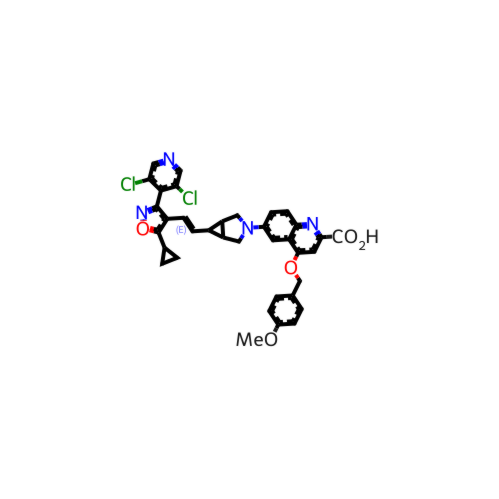 COc1ccc(COc2cc(C(=O)O)nc3ccc(N4CC5C(/C=C/c6c(-c7c(Cl)cncc7Cl)noc6C6CC6)C5C4)cc23)cc1